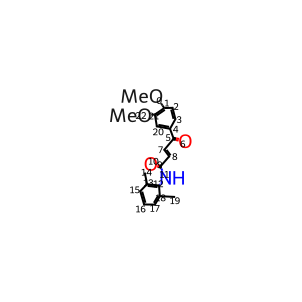 COc1ccc(C(=O)C=CC(=O)Nc2c(C)cccc2C)cc1OC